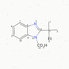 CCC(C)(C)c1nc2ccccc2n1C(=O)O